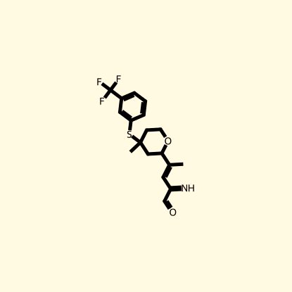 C/C(=C\C(=N)C=O)C1CC(C)(Sc2cccc(C(F)(F)F)c2)CCO1